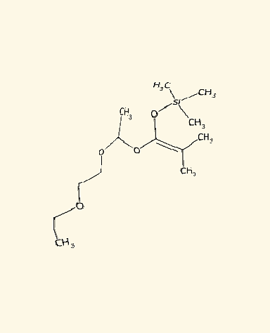 CCOCCOC(C)OC(O[Si](C)(C)C)=C(C)C